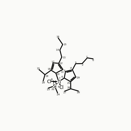 CCCCC1=C[CH]([Ti]([Cl])([Cl])([CH]2C=C(CCCC)C=C2C(C)C)[SiH](C)C)C(C(C)C)=C1